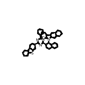 c1ccc(-c2nc(-c3ccc4c(c3)sc3ccccc34)nc(-c3ccc4ccccc4c3-n3c4ccccc4c4cc5ccccc5cc43)n2)cc1